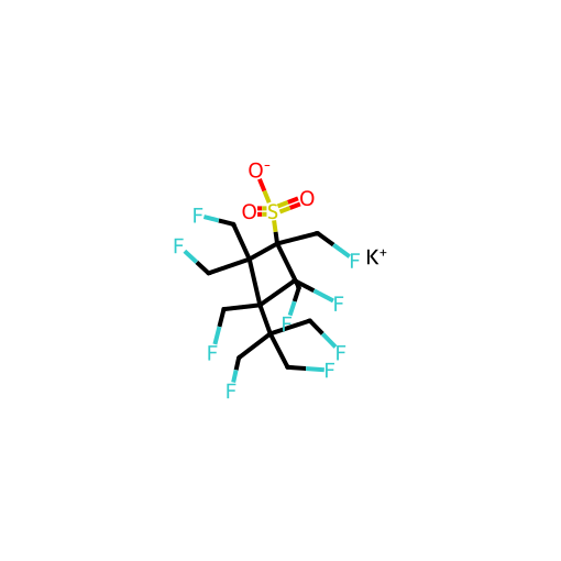 O=S(=O)([O-])C(CF)(CF)C(CF)(CF)C(CF)(CF)C(CF)(CF)CF.[K+]